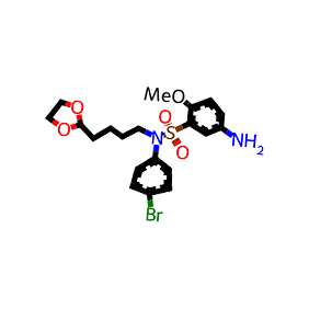 COc1ccc(N)cc1S(=O)(=O)N(CCCCC1OCCO1)c1ccc(Br)cc1